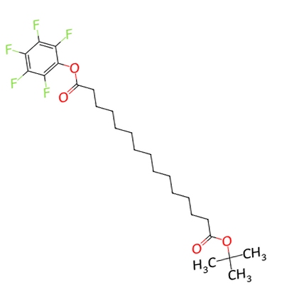 CC(C)(C)OC(=O)CCCCCCCCCCCCCC(=O)Oc1c(F)c(F)c(F)c(F)c1F